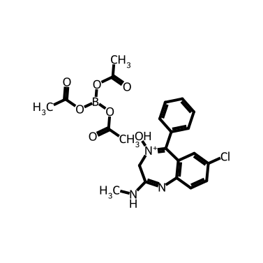 CC(=O)OB(OC(C)=O)OC(C)=O.CNC1=Nc2ccc(Cl)cc2C(c2ccccc2)=[N+](O)C1